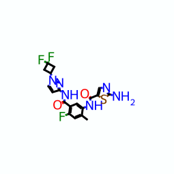 Cc1cc(F)c(C(=O)Nc2ccn(C3CC(F)(F)C3)n2)cc1NC(=O)c1cnc(N)s1